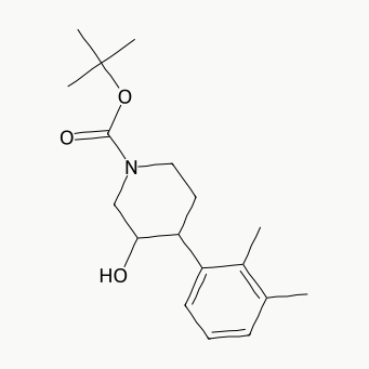 Cc1cccc(C2CCN(C(=O)OC(C)(C)C)CC2O)c1C